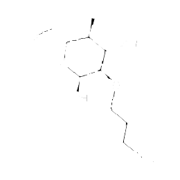 C[C@H]1[C@H](O)[C@@H](OCCCN)[C@@H](O)O[C@@H]1CO